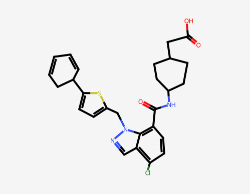 O=C(O)CC1CCC(NC(=O)c2ccc(Cl)c3cnn(Cc4ccc(C5C=CC=CC5)s4)c23)CC1